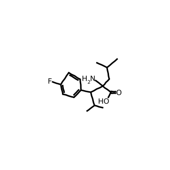 CC(C)CC(N)(C(=O)O)C(c1ccc(F)cc1)C(C)C